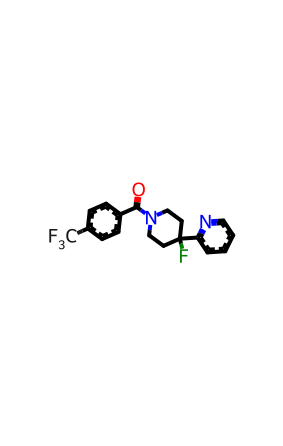 O=C(c1ccc(C(F)(F)F)cc1)N1CCC(F)(c2ccccn2)CC1